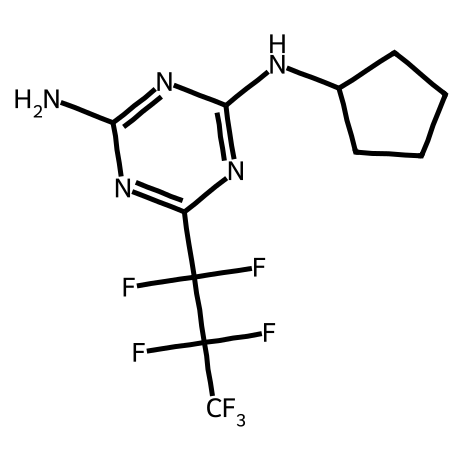 Nc1nc(NC2CCCC2)nc(C(F)(F)C(F)(F)C(F)(F)F)n1